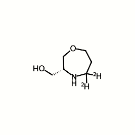 [2H]C1([2H])CCOC[C@@H](CO)N1